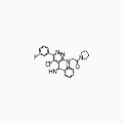 N=C(c1ccccc1)c1c(NCC(=O)N2CCCC2)nnc(-c2cccc(F)c2)c1Cl